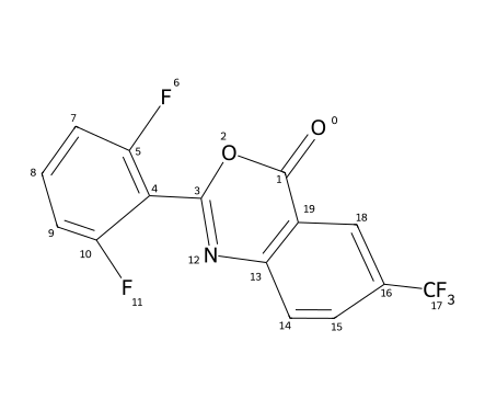 O=c1oc(-c2c(F)cccc2F)nc2ccc(C(F)(F)F)cc12